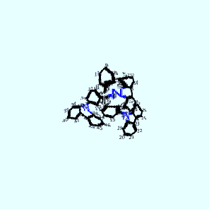 C1=Cc2c(n([Si](c3ccccc3)(c3cccc(-n4c5ccccc5c5ccccc54)c3)c3cccc(-n4c5ccccc5c5ccccc54)c3)c3ccccc23)CC1